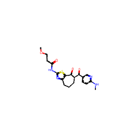 CNc1ccc(C(=O)C2CCCc3nc(NC(=O)CCOC)sc3C2=O)cn1